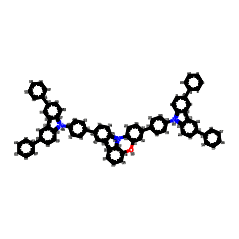 c1ccc(-c2ccc3c(c2)c2cc(-c4ccccc4)ccc2n3-c2ccc(-c3ccc4c(c3)Oc3cccc5c6cc(-c7ccc(-n8c9ccc(-c%10ccccc%10)cc9c9cc(-c%10ccccc%10)ccc98)cc7)ccc6n-4c35)cc2)cc1